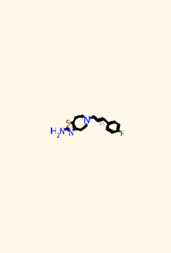 Nc1nc2c(s1)CCN(C/C=C/c1ccc(F)cc1)CC2